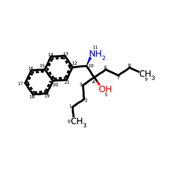 CCCCC(O)(CCCC)[C@H](N)c1ccc2ccccc2c1